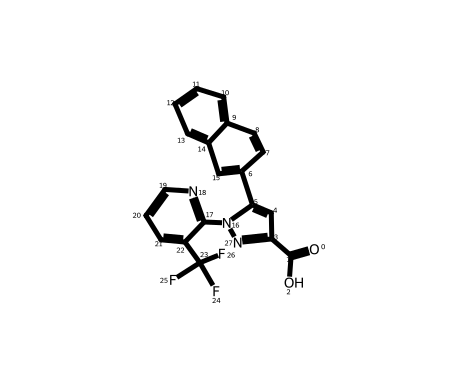 O=C(O)c1cc(-c2ccc3ccccc3c2)n(-c2ncccc2C(F)(F)F)n1